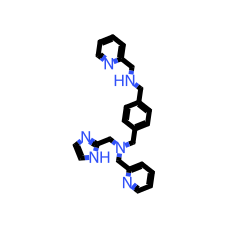 c1ccc(CNCc2ccc(CN(Cc3ccccn3)Cc3ncc[nH]3)cc2)nc1